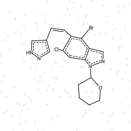 Clc1cc2c(cnn2C2CCCCO2)c(Br)c1/C=C\c1cn[nH]c1